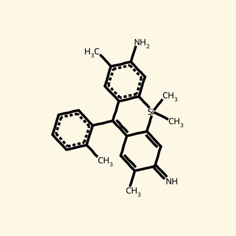 CC1=CC2=C(c3ccccc3C)c3cc(C)c(N)cc3[Si](C)(C)C2=CC1=N